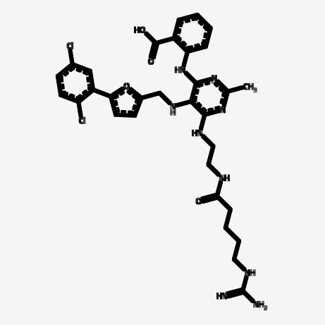 Cc1nc(NCCNC(=O)CCCCNC(=N)N)c(NCc2ccc(-c3cc(Cl)ccc3Cl)o2)c(Nc2ccccc2C(=O)O)n1